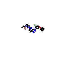 C=CC(=O)N1CCC12CN(c1ccc3ncnc(Nc4ccc(Oc5ccccc5)cc4F)c3n1)C2